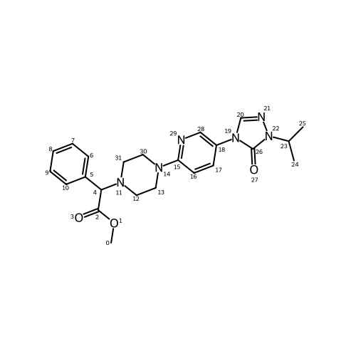 COC(=O)C(c1ccccc1)N1CCN(c2ccc(-n3cnn(C(C)C)c3=O)cn2)CC1